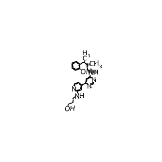 COc1ccccc1C(C)[C@H](C)CNc1cc(-c2ccnc(NCCCO)c2)ncn1